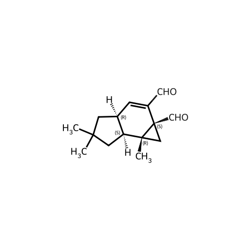 CC1(C)C[C@H]2C=C(C=O)[C@]3(C=O)C[C@]3(C)[C@H]2C1